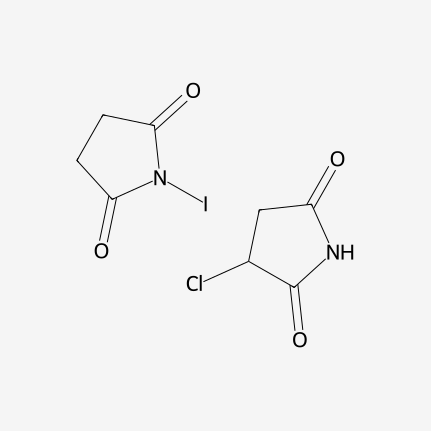 O=C1CC(Cl)C(=O)N1.O=C1CCC(=O)N1I